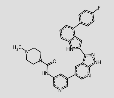 CN1CCN(C(=O)Nc2cncc(-c3cnc4[nH]nc(-c5cc6c(-c7ccc(F)cc7)cccc6[nH]5)c4c3)c2)CC1